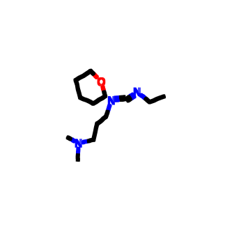 C1CCOCC1.CCN=C=NCCCN(C)C